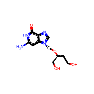 Nc1cc2c(ncn2CO[C@H](CO)CCO)c(=O)[nH]1